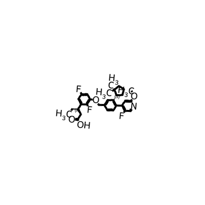 CC[C@H](CC(=O)O)c1cc(F)cc(OCc2ccc(-c3cc(OC)ncc3F)c([C@H]3CCCC3(C)C)c2)c1F